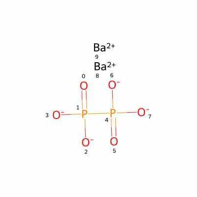 O=P([O-])([O-])P(=O)([O-])[O-].[Ba+2].[Ba+2]